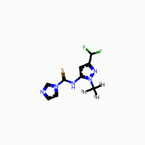 [2H]C([2H])([2H])n1nc(C(F)F)cc1NC(=S)n1ccnc1